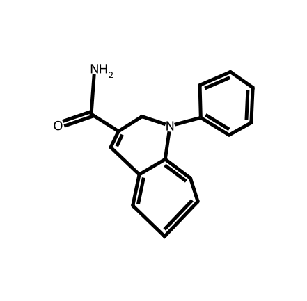 NC(=O)C1=Cc2ccccc2N(c2ccccc2)C1